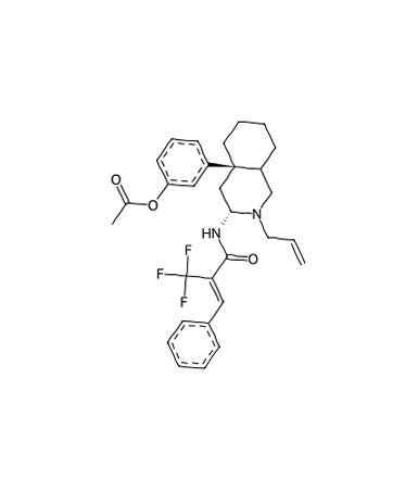 C=CCN1CC2CCCC[C@@]2(c2cccc(OC(C)=O)c2)C[C@H]1NC(=O)C(=Cc1ccccc1)C(F)(F)F